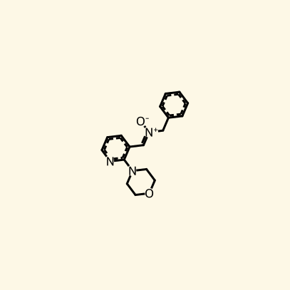 [O-][N+](=Cc1cccnc1N1CCOCC1)Cc1ccccc1